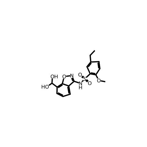 CCc1ccc(OC)c(S(=O)(=O)Nc2noc3c(C(O)O)cccc23)c1